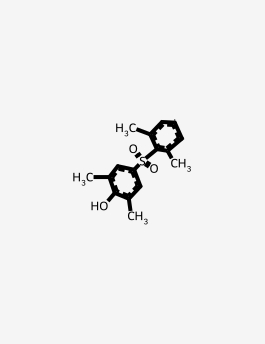 Cc1cc(S(=O)(=O)c2c(C)c[c]cc2C)cc(C)c1O